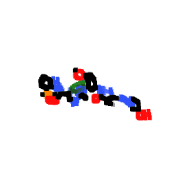 C=C(/N=C\C(Cl)=C(/C)Nc1ccccc1P(C)(C)=O)Nc1cc(NC(=O)C(=C)CN2CCC(O)C2)ccc1OC